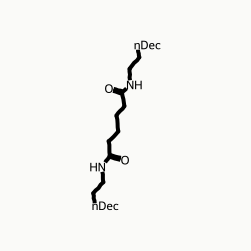 CCCCCCCCCCCCNC(=O)CCCCC(=O)NCCCCCCCCCCCC